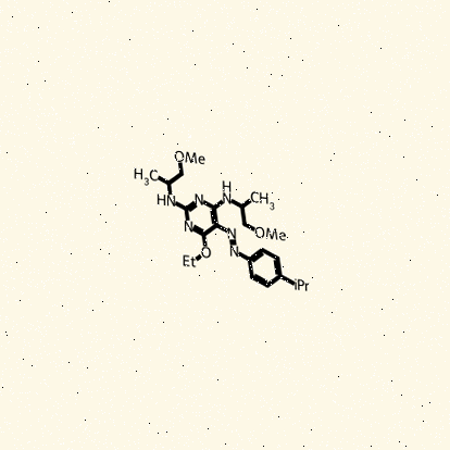 CCOc1nc(NC(C)COC)nc(NC(C)COC)c1N=Nc1ccc(C(C)C)cc1